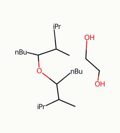 CCCCC(OC(CCCC)C(C)C(C)C)C(C)C(C)C.OCCO